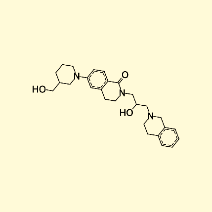 O=C1c2ccc(N3CCCC(CO)C3)cc2CCN1CC(O)CN1CCc2ccccc2C1